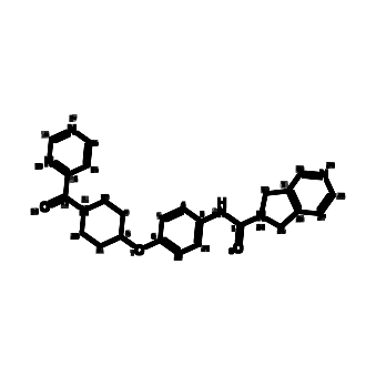 O=C(Nc1ccc(OC2CCN(C(=O)c3ccncn3)CC2)cc1)N1Cc2ccncc2C1